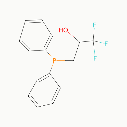 OC(CP(c1ccccc1)c1ccccc1)C(F)(F)F